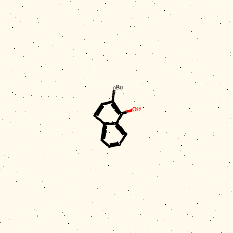 CCCCc1ccc2ccccc2c1O